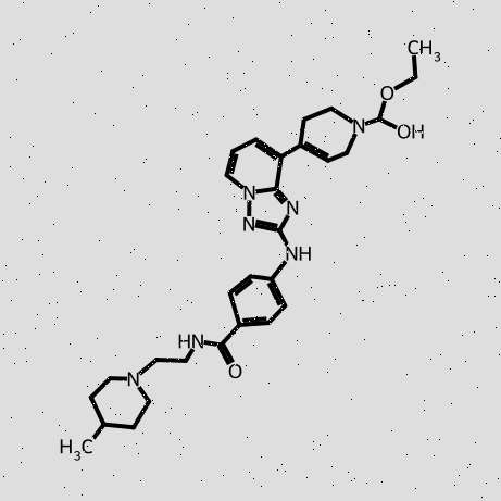 CCOC(O)N1CC=C(c2cccn3nc(Nc4ccc(C(=O)NCCN5CCC(C)CC5)cc4)nc23)CC1